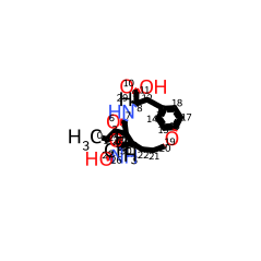 CC(C)C[C@H]1C(=O)N[C@H](C(=O)O)Cc2ccc(cc2)OCCC[C@@H]1C(=O)NO